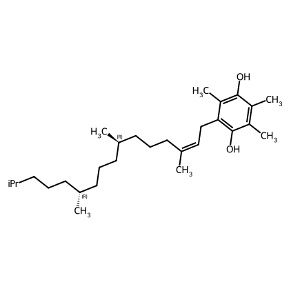 CC(=CCc1c(C)c(O)c(C)c(C)c1O)CCC[C@H](C)CCC[C@H](C)CCCC(C)C